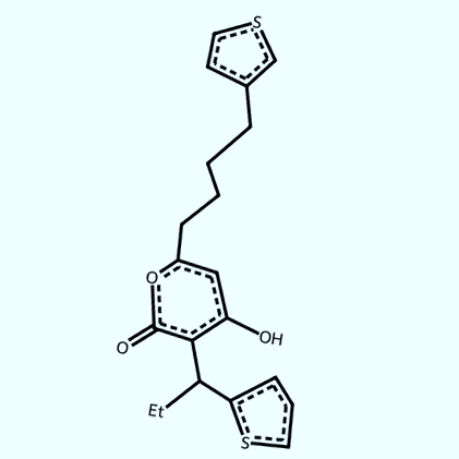 CCC(c1cccs1)c1c(O)cc(CCCCc2ccsc2)oc1=O